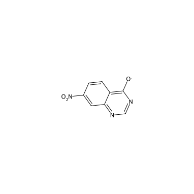 [O]c1ncnc2cc([N+](=O)[O-])ccc12